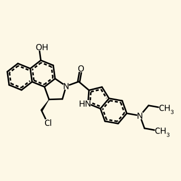 CCN(CC)c1ccc2[nH]c(C(=O)N3C[C@@H](CCl)c4c3cc(O)c3ccccc43)cc2c1